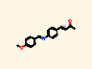 COc1ccc(C=Nc2ccc(/C=C/C(C)=O)cc2)cc1